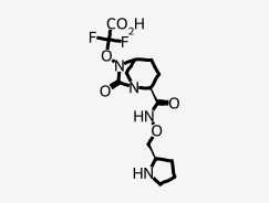 O=C(NOC[C@H]1CCCN1)[C@@H]1CCC2CN1C(=O)N2OC(F)(F)C(=O)O